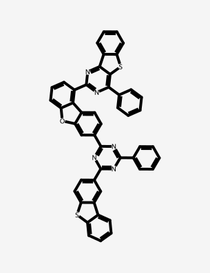 c1ccc(-c2nc(-c3ccc4c(c3)oc3cccc(-c5nc(-c6ccccc6)c6sc7ccccc7c6n5)c34)nc(-c3ccc4sc5ccccc5c4c3)n2)cc1